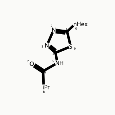 CCCCCCc1nnc(NC(=O)C(C)C)s1